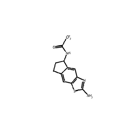 Nc1nc2cc3c(cc2s1)CCC3NC(=O)C(F)(F)F